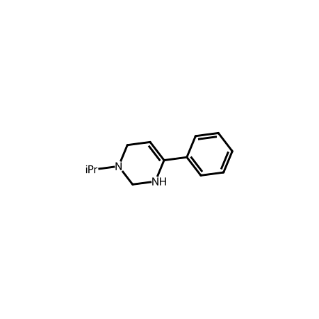 CC(C)N1CC=C(c2ccccc2)NC1